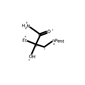 CCCCCCC(O)(CC)C(N)=O